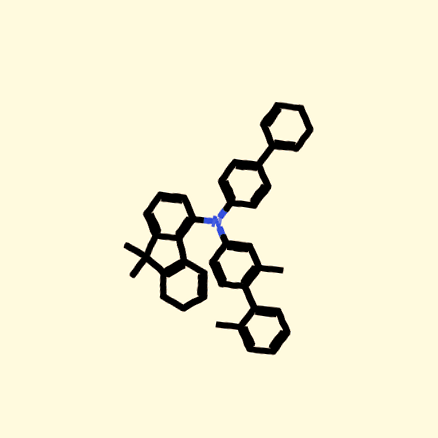 Cc1ccccc1-c1ccc(N(c2ccc(C3=CCCC=C3)cc2)c2cccc3c2C2=C(CCC=C2)C3(C)C)cc1C